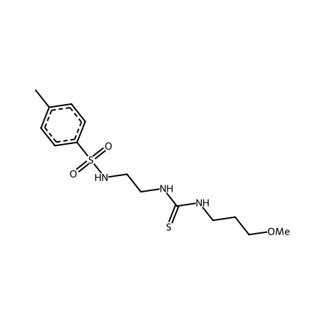 COCCCNC(=S)NCCNS(=O)(=O)c1ccc(C)cc1